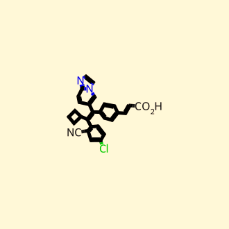 N#Cc1cc(Cl)ccc1C(=C(c1ccc(C=CC(=O)O)cc1)c1ccc2nccn2c1)C1CCC1